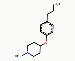 O=C(O)CCc1ccc(OC2CCN(C(=O)O)CC2)cc1